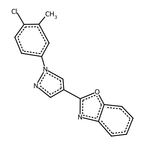 Cc1cc(-n2cc(-c3nc4ccccc4o3)cn2)ccc1Cl